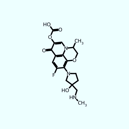 CNCC1(O)CCN(c2c(F)cc3c(=O)c(OC(=O)O)cn4c3c2OCC4C)C1